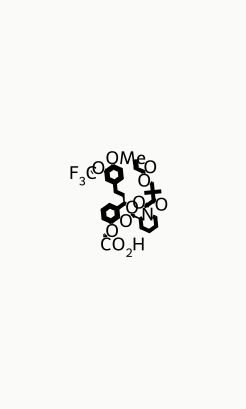 C=CC(=O)OCC(C)(C)C(=O)C(=O)N1CCCC[C@H]1C(=O)O[C@H](CCc1ccc(OC)c(OC(F)(F)F)c1)c1cccc(OCC(=O)O)c1